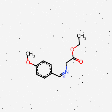 CCOC(=O)C/N=C\c1ccc(OC)cc1